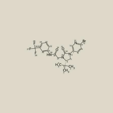 CC(C)(C)[C@H]1CN(c2ccc(Br)nc2)C(=O)N1CC(=O)Nc1cccc(C(F)(F)F)c1